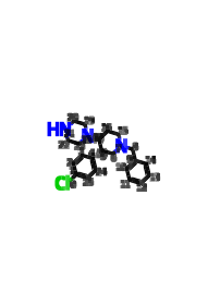 Clc1ccc([C@H]2CN(Cc3ccccc3)CC[C@H]2N2CCNCC2)cc1